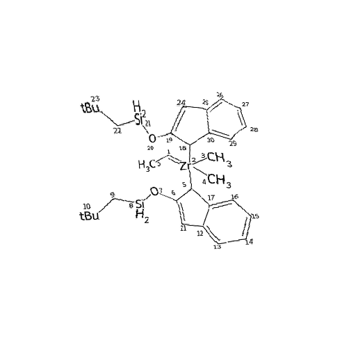 C[CH]=[Zr]([CH3])([CH3])([CH]1C(O[SiH2]CC(C)(C)C)=Cc2ccccc21)[CH]1C(O[SiH2]CC(C)(C)C)=Cc2ccccc21